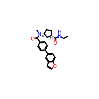 CCNC(=O)[C@H]1CC[C@@H](N(C)C(=O)c2ccc(-c3ccc4occc4c3)cc2)C1